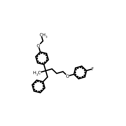 CCOc1ccc(C(C)(CCCOc2ccc(F)cc2)Cc2ccccc2)cc1